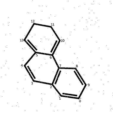 [c]1[c]c2ccc3c(c2cc1)=CCCC=3